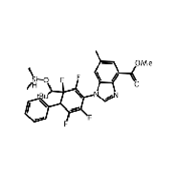 COC(=O)c1cc(C)cc2c1ncn2C1=C(F)C(F)(C(O[SiH](C)C)C(C)(C)C)C(c2ccccc2)C(F)=C1F